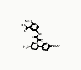 COc1ncc(NC(=O)C(=O)N2C[C@@H](C)CC[C@@H]2c2ccc(NC(C)=O)nc2)cc1C(N)=O